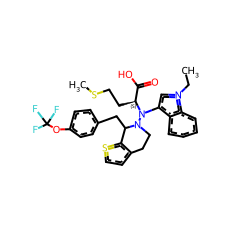 CCn1cc(N([C@@H](CCSC)C(=O)O)N2CCc3ccsc3C2Cc2ccc(OC(F)(F)F)cc2)c2ccccc21